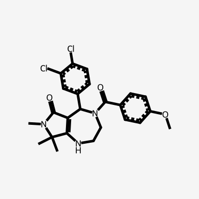 COc1ccc(C(=O)N2CCNC3=C(C(=O)N(C)C3(C)C)C2c2ccc(Cl)c(Cl)c2)cc1